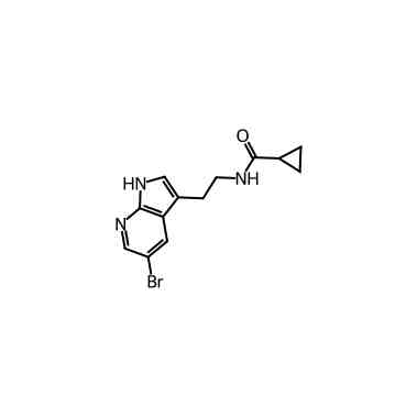 O=C(NCCc1c[nH]c2ncc(Br)cc12)C1CC1